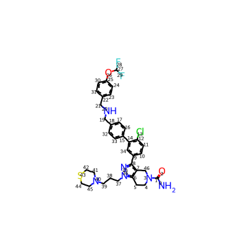 NC(=O)N1CCc2c(c(-c3ccc(Cl)c(-c4ccc(CNCc5ccc(OC(F)F)cc5)cc4)c3)nn2CCCN2CCSCC2)C1